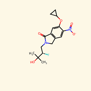 CC(C)(O)[C@H](F)CN1Cc2cc([N+](=O)[O-])c(OC3CC3)cc2C1=O